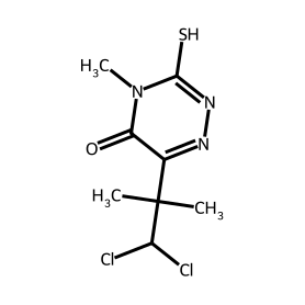 Cn1c(S)nnc(C(C)(C)C(Cl)Cl)c1=O